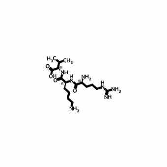 CC(C)[C@H](NC(=O)[C@H](CCCCN)NC(=O)[C@@H](N)CCCNC(=N)N)C(=O)O